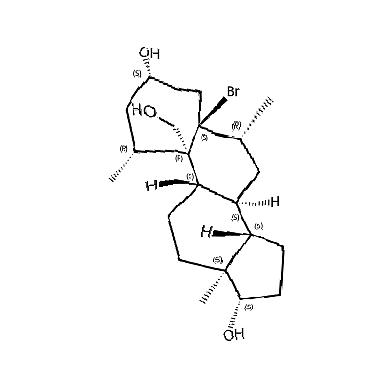 C[C@@H]1C[C@H](O)C[C@]2(Br)[C@H](C)C[C@H]3[C@@H]4CC[C@H](O)[C@@]4(C)CC[C@@H]3[C@@]12CO